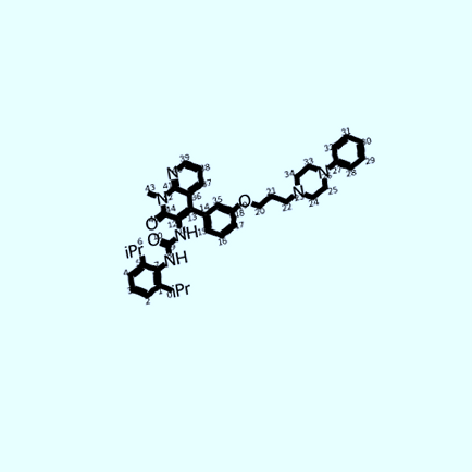 CC(C)c1cccc(C(C)C)c1NC(=O)Nc1c(-c2cccc(OCCCN3CCN(c4ccccc4)CC3)c2)c2cccnc2n(C)c1=O